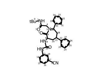 CC(C)(C)NC(=O)CN1C(=O)C(NC(=O)Nc2cccc(C#N)c2)CC(c2ccccc2)CC1c1ccccc1